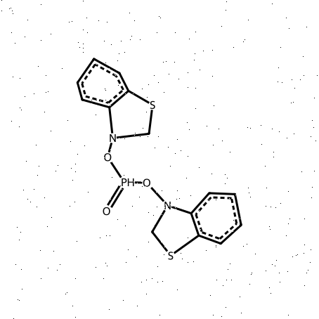 O=[PH](ON1CSc2ccccc21)ON1CSc2ccccc21